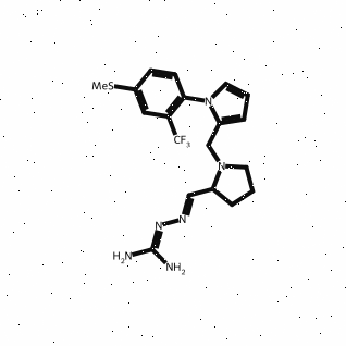 CSc1ccc(-n2cccc2CN2CCCC2/C=N/N=C(N)N)c(C(F)(F)F)c1